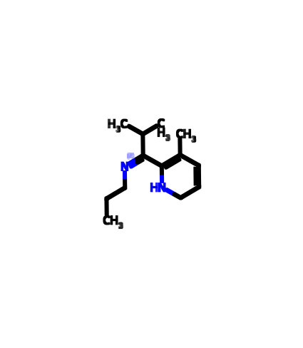 CCC/N=C(\C1=C(C)C=CCN1)C(C)C